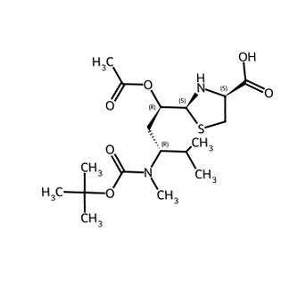 CC(=O)O[C@H](C[C@H](C(C)C)N(C)C(=O)OC(C)(C)C)[C@H]1N[C@@H](C(=O)O)CS1